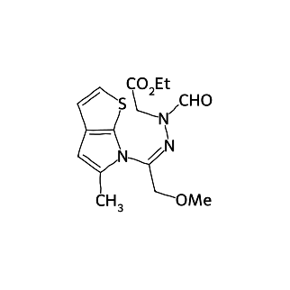 CCOC(=O)CN(C=O)/N=C(/COC)n1c(C)cc2ccsc21